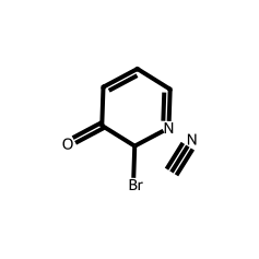 C#N.O=C1C=CC=NC1Br